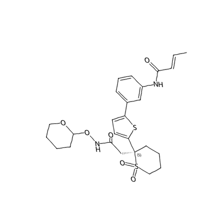 CC=CC(=O)Nc1cccc(-c2ccc([C@@]3(CC(=O)NOC4CCCCO4)CCCCS3(=O)=O)s2)c1